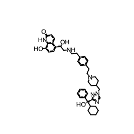 O=c1ccc2c([C@@H](O)CNCCc3ccc(CCN4CCC(Cn5cnc([C@](O)(c6ccccc6)C6CCCCC6)n5)CC4)cc3)ccc(O)c2[nH]1